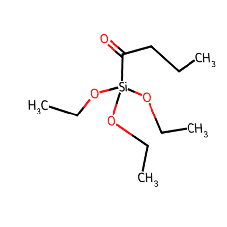 CCCC(=O)[Si](OCC)(OCC)OCC